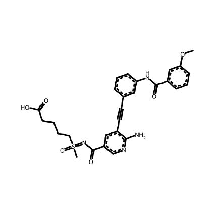 COc1cccc(C(=O)Nc2cccc(C#Cc3cc(C(=O)N=S(C)(=O)CCCCC(=O)O)cnc3N)c2)c1